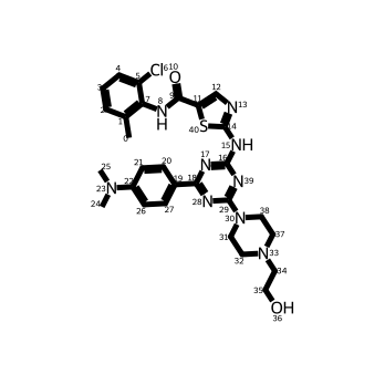 Cc1cccc(Cl)c1NC(=O)c1cnc(Nc2nc(-c3ccc(N(C)C)cc3)nc(N3CCN(CCO)CC3)n2)s1